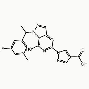 Cc1cc(F)cc(C(C)n2ncc3nc(-n4cc(C(=O)O)cn4)nc(O)c32)c1